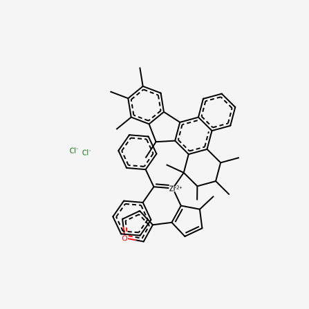 Cc1cc2c(c(C)c1C)C(C)c1c3c(c4ccccc4c1-2)C(C)C(C)C(C)[C]3(C)[Zr+2]([C]1=C(c2ccoc2)C=CC1C)=[C](c1ccccc1)c1ccccc1.[Cl-].[Cl-]